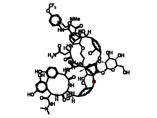 CN[C@H](CC(C)C)C(=O)N[C@H]1C(=O)N[C@@H](CC(N)=O)C(=O)N[C@H]2C(=O)N[C@H]3C(=O)N[C@H](C(=O)N[C@@H](C(=O)NN(C)C)c4cc(O)cc(O)c4-c4cc3ccc4O)[C@H](O)c3ccc(c(Cl)c3)Oc3cc2cc(c3O[C@@H]2O[C@H](CO)[C@@H](O)[C@H](O)[C@H]2O[C@H]2C[C@](C)(NCCOC3CCN(C(=O)Nc4ccc(OC(F)(F)F)cc4)CC3)[C@H](O)[C@H](C)O2)Oc2ccc(cc2Cl)[C@H]1O